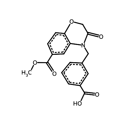 COC(=O)c1ccc2c(c1)N(Cc1cccc(C(=O)O)c1)C(=O)CO2